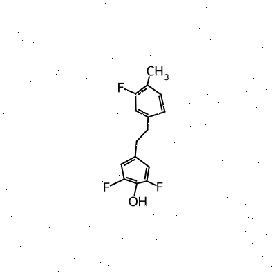 Cc1ccc(CCc2cc(F)c(O)c(F)c2)cc1F